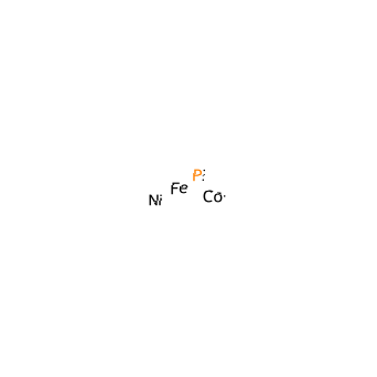 [Co].[Fe].[Ni].[P]